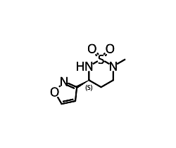 CN1CC[C@@H](c2ccon2)NS1(=O)=O